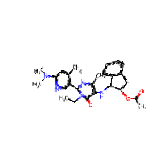 CCn1c(-c2cnc(N(C)C)cc2C)nc(C)c(NC2c3ccccc3CC2OC(C)=O)c1=O